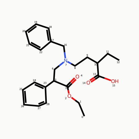 CCOC(=O)C(CN(CCC(CC)C(=O)O)Cc1ccccc1)c1ccccc1